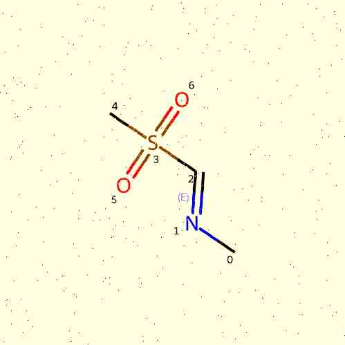 C/N=C/S(C)(=O)=O